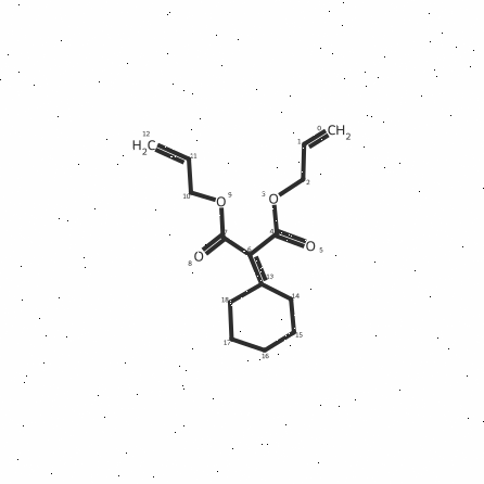 C=CCOC(=O)C(C(=O)OCC=C)=C1CCCCC1